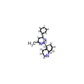 Cc1cc(-c2ccccc2)nc(C2=c3cccnc3=C=C=C2)n1